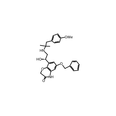 COc1ccc(CC(C)(C)NC[C@H](O)c2cc(OCc3ccccc3)cc3c2OCC(=O)N3)cc1